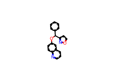 c1ccc(C(Oc2ccc3ncccc3c2)c2ccon2)cc1